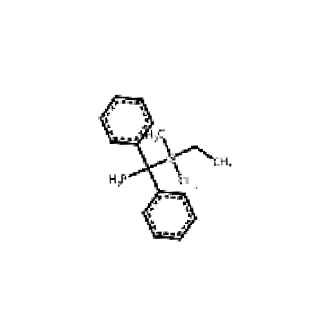 CC[Si](C)(C)C(P)(c1ccccc1)c1ccccc1